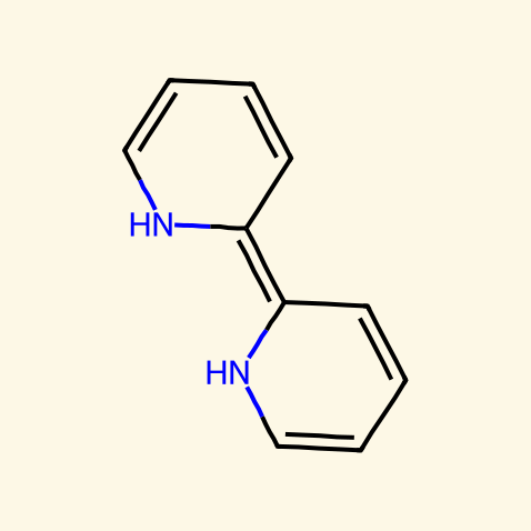 C1=CNC(=C2C=CC=CN2)C=C1